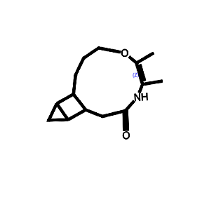 C/C1=C(\C)OCCCC2C(CC(=O)N1)C1CC21